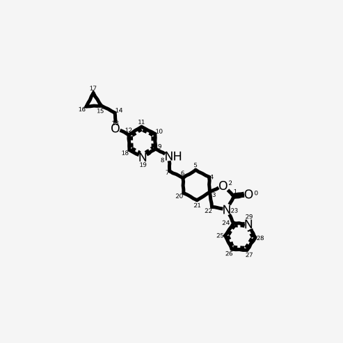 O=C1OC2(CCC(CNc3ccc(OCC4CC4)cn3)CC2)CN1c1ccccn1